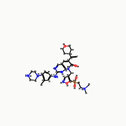 C=C(c1cc2cnc(Nc3ccc(N4CCNCC4)c(C)c3)nc2n(Cc2cnoc2S(=O)(=O)CCN(C)C)c1=O)C1CCOCC1